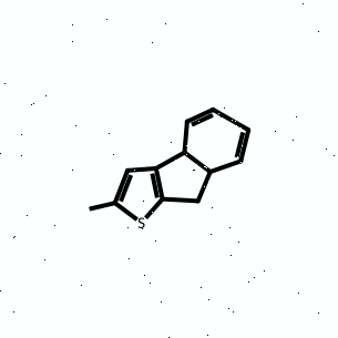 Cc1cc2c(s1)CC1C=CC=CC21